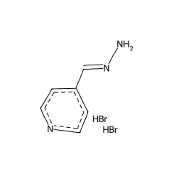 Br.Br.NN=Cc1ccncc1